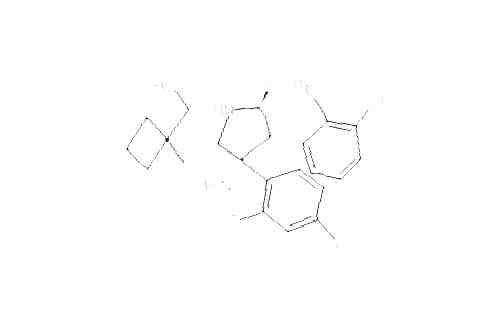 N[C@]1(c2ccc(Cl)cc2F)[C@H](CC2(CO)CCC2)N[C@@H](C(=O)O)[C@@H]1c1cccc(Cl)c1F